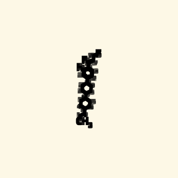 CCCC1CCC(C2CCC(c3ccc(/C(F)=C/CF)c(F)c3)CC2)CC1